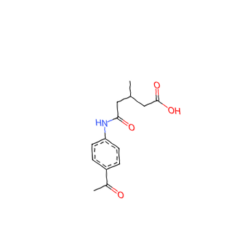 CC(=O)c1ccc(NC(=O)CC(C)CC(=O)O)cc1